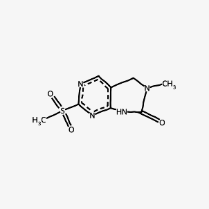 CN1Cc2cnc(S(C)(=O)=O)nc2NC1=O